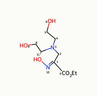 CCOC(=O)C(CN(CCO)CCO)=NO